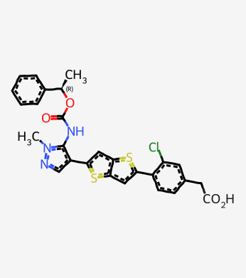 C[C@@H](OC(=O)Nc1c(-c2cc3sc(-c4ccc(CC(=O)O)cc4Cl)cc3s2)cnn1C)c1ccccc1